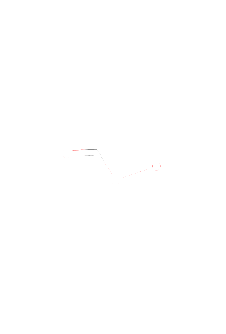 [O]O[C]=O